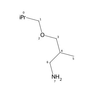 [CH2]C(C)COCC(C)CN